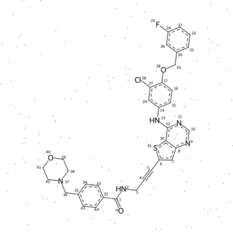 O=C(NCC#Cc1cc2ncnc(Nc3ccc(OCc4cccc(F)c4)c(Cl)c3)c2s1)c1ccc(CN2CCOCC2)cc1